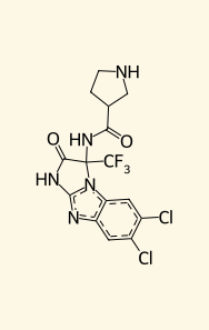 O=C(NC1(C(F)(F)F)C(=O)Nc2nc3cc(Cl)c(Cl)cc3n21)C1CCNC1